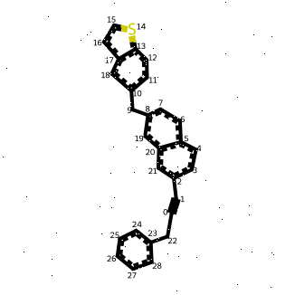 C(#Cc1ccc2ccc(Cc3ccc4sccc4c3)cc2c1)Cc1ccccc1